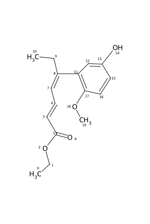 CCOC(=O)/C=C/C=C(/CC)c1cc(O)ccc1OC